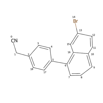 N#CCc1ccc(-c2cccc3ccc(Br)cc23)cc1